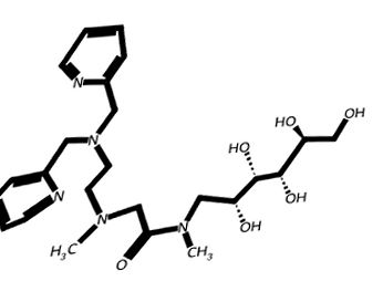 CN(CCN(Cc1ccccn1)Cc1ccccn1)CC(=O)N(C)C[C@@H](O)[C@H](O)[C@@H](O)[C@@H](O)CO